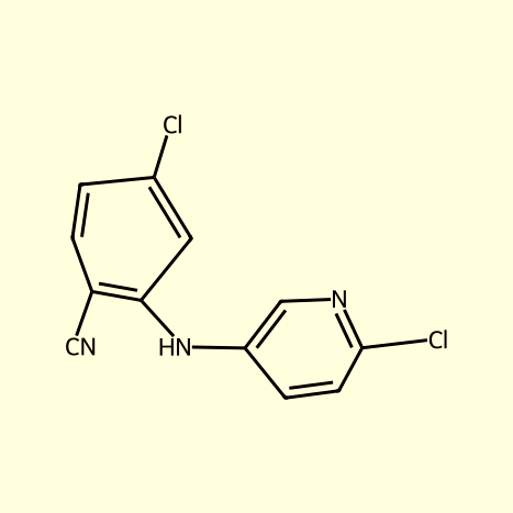 N#Cc1ccc(Cl)cc1Nc1ccc(Cl)nc1